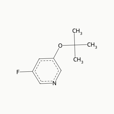 CC(C)(C)Oc1cncc(F)c1